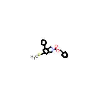 CSCc1cc2c(c(-c3ccccc3)c1)CN(C(=O)OCc1ccccc1)C2